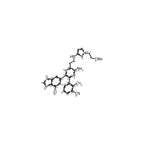 COCCn1ccc(NCCc2nc(-c3cc(Cl)c4ncsc4c3)c(-c3cccc(C#N)c3C)nc2N)n1